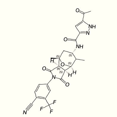 CC(=O)c1cc(C(=O)N[C@H]2C[C@]3(C)O[C@@H](C2C)[C@H]2C(=O)N(c4ccc(C#N)c(C(F)(F)F)c4)C(=O)[C@H]23)n[nH]1